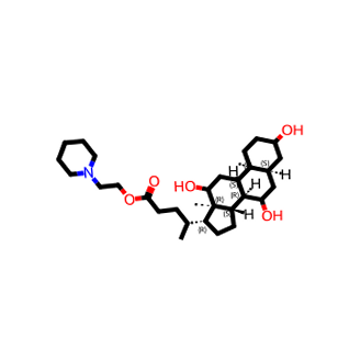 CC(CCC(=O)OCCN1CCCCC1)[C@H]1CC[C@H]2[C@@H]3C(O)C[C@@H]4CC(O)CC[C@]4(C)[C@H]3CC(O)[C@]12C